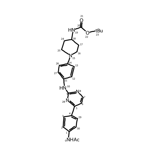 CC(=O)Nc1ccc(-c2ccnc(Nc3ccc(N4CCC(NC(=O)OC(C)(C)C)CC4)cc3)n2)cc1